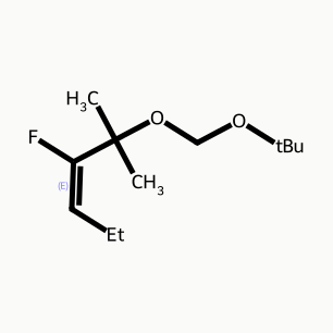 CC/C=C(/F)C(C)(C)OCOC(C)(C)C